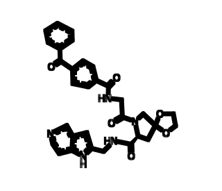 O=C(NCC(=O)N1CC2(C[C@H]1C(=O)NCc1cc3cnccc3[nH]1)OCCO2)c1ccc(C(=O)c2ccccc2)cc1